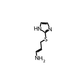 NC=CCSc1ncc[nH]1